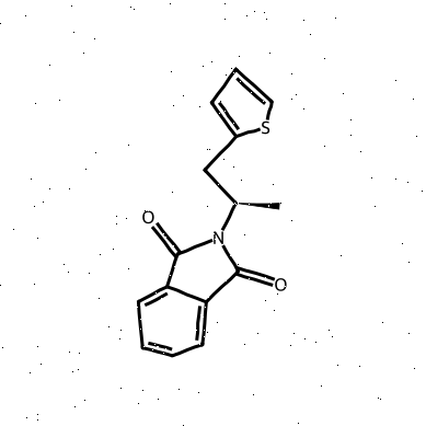 C[C@H](Cc1cccs1)N1C(=O)c2ccccc2C1=O